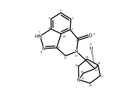 O=C1c2cccc3[nH]nc(c23)CN1[C@@H]1CN2CCC1CC2